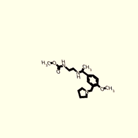 COC(=O)NCCNC(C)c1ccc(OC)c(CN2CCCC2)c1